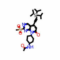 CC(=O)NC1CCC(n2c(=O)cc(C#C[Si](C(C)C)(C(C)C)C(C)C)c3cnc(S(C)(=O)=O)nc32)CC1